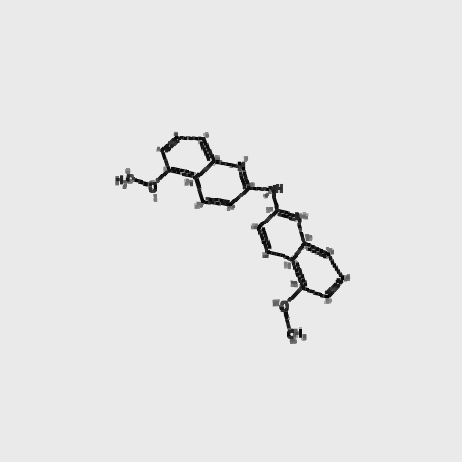 COc1cccc2nc(Nc3ccc4c(OC)cccc4n3)ccc12